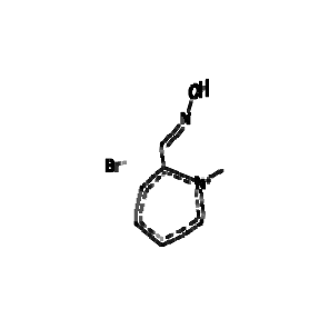 C[n+]1ccccc1C=NO.[Br-]